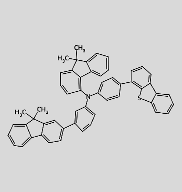 CC1(C)c2ccccc2-c2ccc(-c3cccc(N(c4ccc(-c5cccc6c5sc5ccccc56)cc4)c4cccc5c4-c4ccccc4C5(C)C)c3)cc21